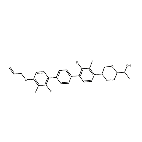 C=CCOc1ccc(-c2ccc(-c3ccc(C4CCC(C(C)O)OC4)c(F)c3F)cc2)c(F)c1F